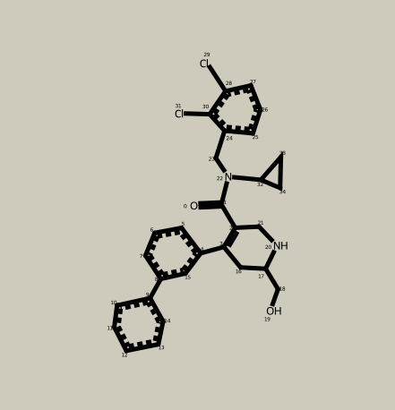 O=C(C1=C(c2cccc(-c3ccccc3)c2)CC(CO)NC1)N(Cc1cccc(Cl)c1Cl)C1CC1